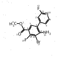 COC(=O)c1cc(-c2ccnc(F)c2)c(N)c(Br)c1F